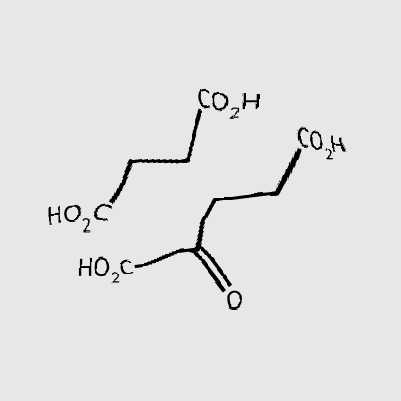 O=C(O)CCC(=O)C(=O)O.O=C(O)CCC(=O)O